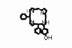 Oc1ccc(-c2cc3cc4nc(cc5ccc([nH]5)c(-c5ccccc5)c5nc(c(-c6ccccc6)c2[nH]3)C=C5)C=C4)cc1